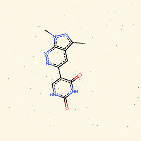 Cc1nn(C)c2nnc(-c3c[nH]c(=O)[nH]c3=O)cc12